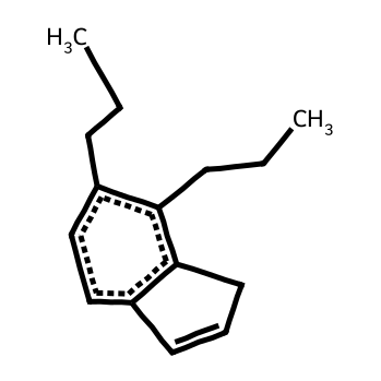 CCCc1ccc2c(c1CCC)CC=C2